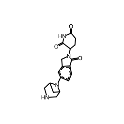 O=C1CCC(N2Cc3cc(N4C5CNCC4C5)ccc3C2=O)C(=O)N1